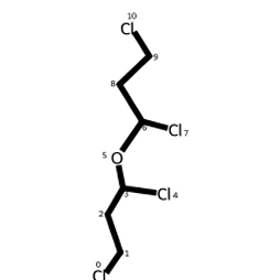 ClCCC(Cl)OC(Cl)CCCl